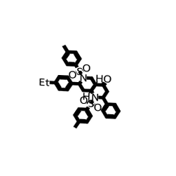 CCc1ccc(C2C[C@H]3[C@@H](CN2S(=O)(=O)c2ccc(C)cc2)C(=O)CC(c2ccccc2)N3S(=O)(=O)c2ccc(C)cc2)cc1